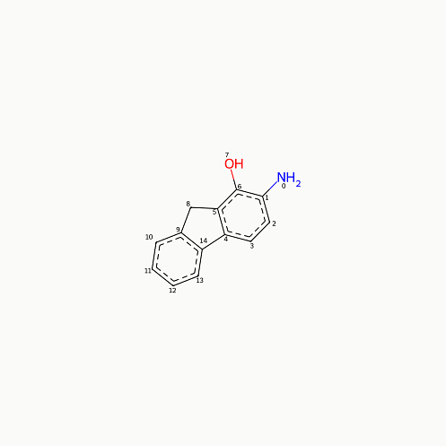 Nc1ccc2c(c1O)Cc1ccccc1-2